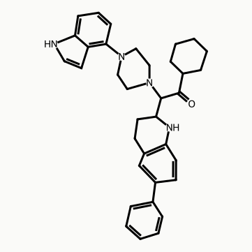 O=C(C1CCCCC1)C(C1CCc2cc(-c3ccccc3)ccc2N1)N1CCN(c2cccc3[nH]ccc23)CC1